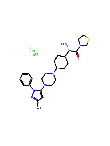 Cc1cc(N2CCN(C3CCC([C@H](N)C(=O)N4CCSC4)CC3)CC2)n(-c2ccccc2)n1.Cl.Cl.Cl